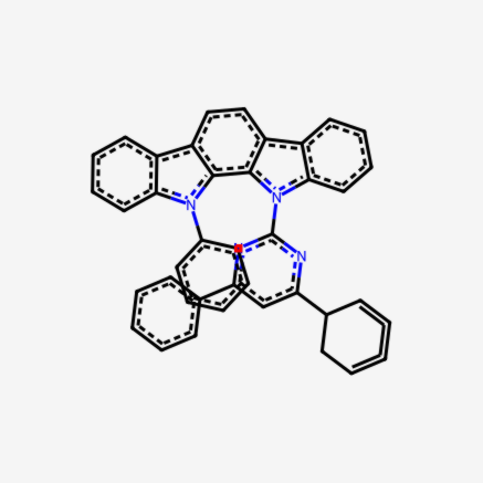 C1=C=CC(c2cc(-c3ccccc3)nc(-n3c4ccccc4c4ccc5c6ccccc6n(-c6ccccc6)c5c43)n2)CC=1